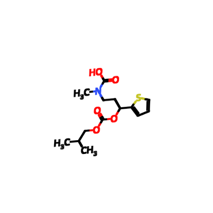 CC(C)COC(=O)OC(CCN(C)C(=O)O)c1cccs1